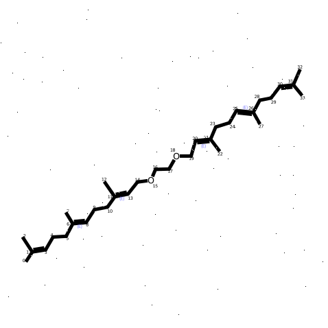 CC(C)=CCC/C(C)=C/CC/C(C)=C/COCCOC/C=C(\C)CC/C=C(\C)CCC=C(C)C